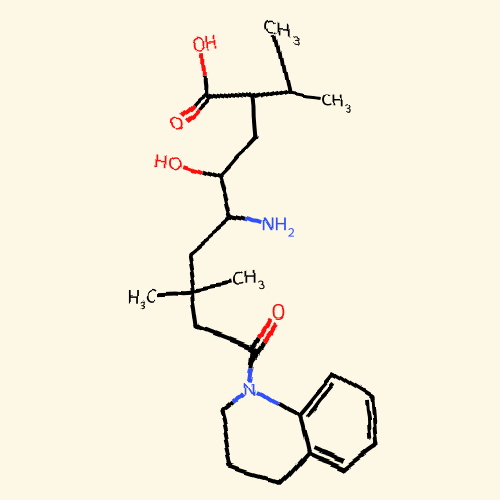 CC(C)C(CC(O)C(N)CC(C)(C)CC(=O)N1CCCc2ccccc21)C(=O)O